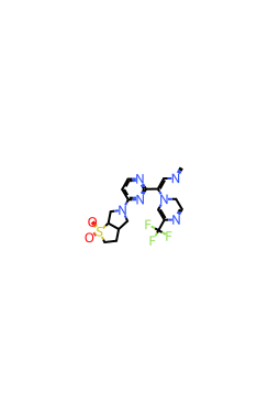 C=N/C=C(/c1nccc(N2CC3CCS(=O)(=O)C3C2)n1)N1C=C(C(F)(F)F)N=CC1